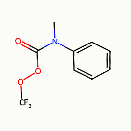 CN(C(=O)OOC(F)(F)F)c1ccccc1